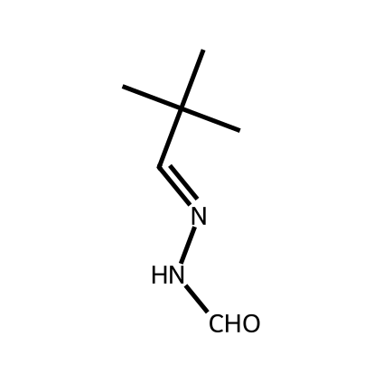 CC(C)(C)C=NNC=O